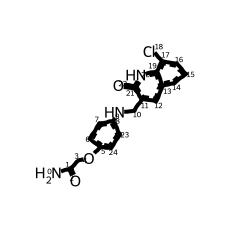 NC(=O)COc1ccc(NCc2cc3cccc(Cl)c3[nH]c2=O)cc1